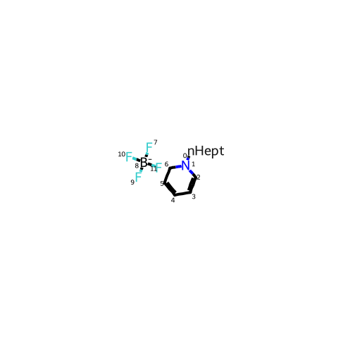 CCCCCCCN1C=CC=CC1.F[B-](F)(F)F